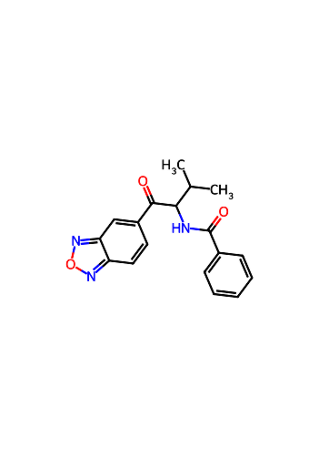 CC(C)C(NC(=O)c1ccccc1)C(=O)c1ccc2nonc2c1